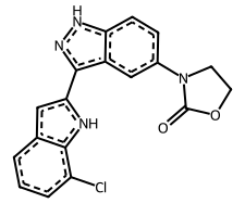 O=C1OCCN1c1ccc2[nH]nc(-c3cc4cccc(Cl)c4[nH]3)c2c1